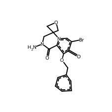 NN1CC2(COC2)n2cc(Br)c(=O)c(OCc3ccccc3)c2C1=O